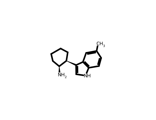 Cc1ccc2[nH]cc([C@@H]3CCCC[C@@H]3N)c2c1